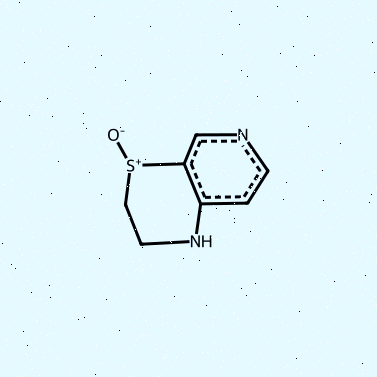 [O-][S+]1CCNc2ccncc21